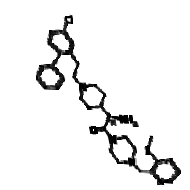 CSc1cccnc1CN1CCN(C(=O)[C@H](N)C2CCN(CCc3cc(Cl)ccc3-c3ccccc3)CC2)CC1